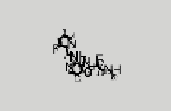 Fc1cccnc1CNc1nccc2oc(C(F)CNI)nc12